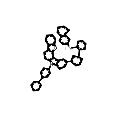 c1ccc(-c2ccc(-n3c4ccc(-c5cccc(-c6ccccc6Nc6ccc7ccccc7c6)c5)cc4c4c5oc6ccccc6c5ccc43)cc2)cc1